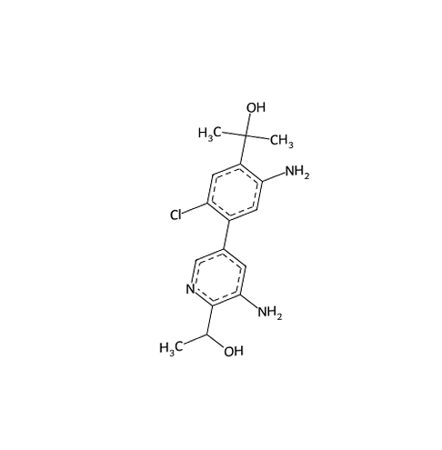 CC(O)c1ncc(-c2cc(N)c(C(C)(C)O)cc2Cl)cc1N